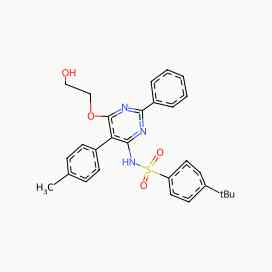 Cc1ccc(-c2c(NS(=O)(=O)c3ccc(C(C)(C)C)cc3)nc(-c3ccccc3)nc2OCCO)cc1